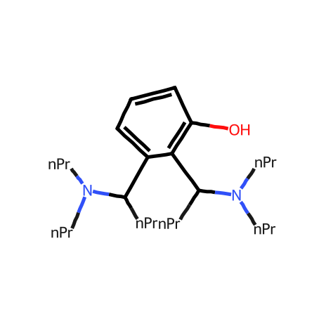 CCCC(c1cccc(O)c1C(CCC)N(CCC)CCC)N(CCC)CCC